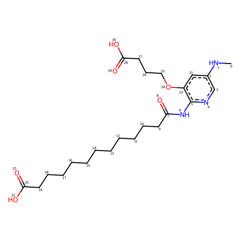 CNc1cnc(NC(=O)CCCCCCCCCCCC(=O)O)c(OCCCC(=O)O)c1